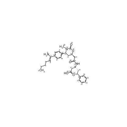 CCCCN=C(N)c1ccc([C@@H]2C[C@H](CC(=O)N[C@H](CCc3ccccc3)CC(=O)O)OC(=O)N2C)cc1